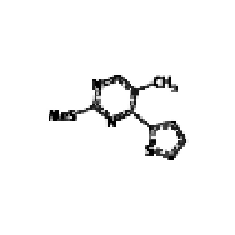 CSc1ncc(C)c(-c2cccs2)n1